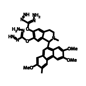 COc1cc2cc(C3c4cc(OC(N=N)=NN)c(OC(N=N)=NN)cc4CCN3C)c3cc(OC)c(OC)cc3c2cc1C